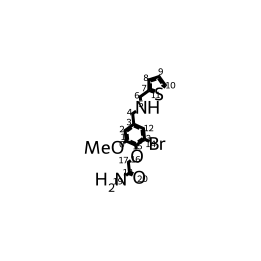 COc1cc(CNCc2cccs2)cc(Br)c1OCC(N)=O